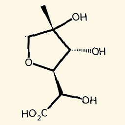 C[C@]1(O)[CH]O[C@H](C(O)C(=O)O)[C@H]1O